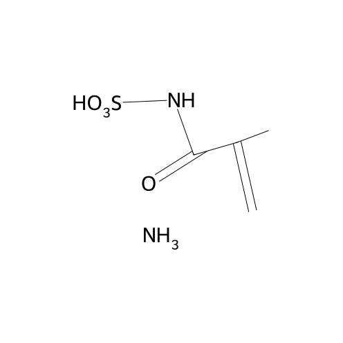 C=C(C)C(=O)NS(=O)(=O)O.N